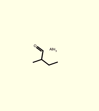 CCC(C)C=O.[AlH3]